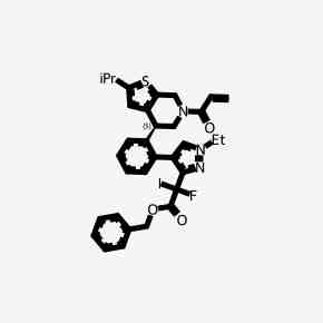 C=CC(=O)N1Cc2sc(C(C)C)cc2[C@H](c2ccccc2-c2cn(CC)nc2C(F)(I)C(=O)OCc2ccccc2)C1